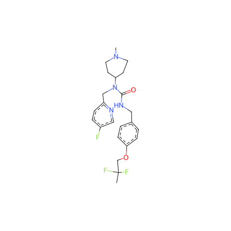 CN1CCC(N(Cc2ccc(F)cn2)C(=O)NCc2ccc(OCC(C)(F)F)cc2)CC1